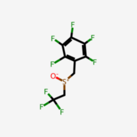 [O-][S+](Cc1c(F)c(F)c(F)c(F)c1F)CC(F)(F)F